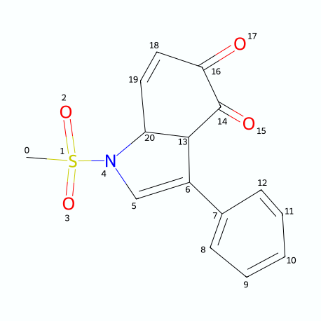 CS(=O)(=O)N1C=C(c2ccccc2)C2C(=O)C(=O)C=CC21